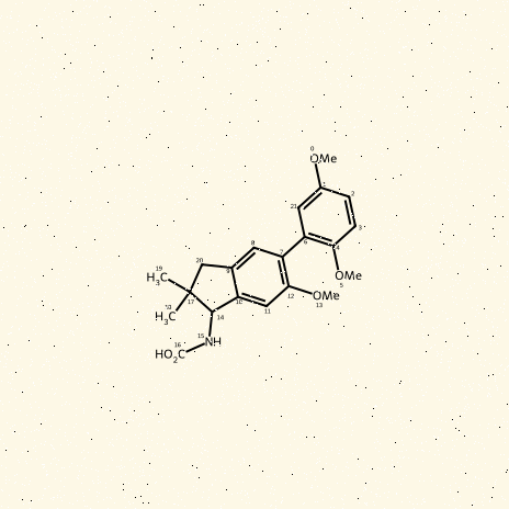 COc1ccc(OC)c(-c2cc3c(cc2OC)C(NC(=O)O)C(C)(C)C3)c1